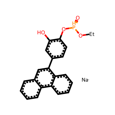 CCO[PH](=O)Oc1ccc(-c2cc3ccccc3c3ccccc23)cc1O.[Na]